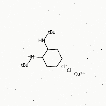 CC(C)(C)NC1CCCCC1NC(C)(C)C.[Cl-].[Cl-].[Cu+2]